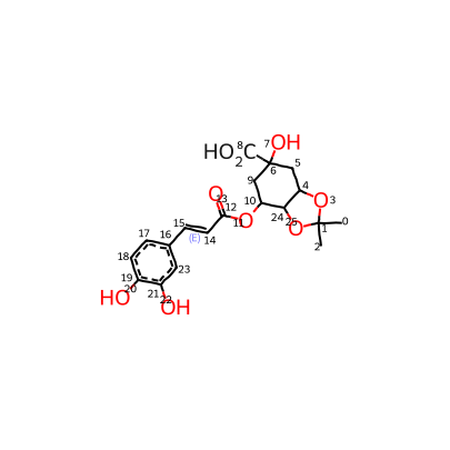 CC1(C)OC2CC(O)(C(=O)O)CC(OC(=O)/C=C/c3ccc(O)c(O)c3)C2O1